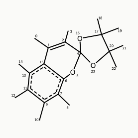 CC1=C(C)C2(Oc3c(C)c(C)c(C)c(C)c31)OC(C)(C)C(C)(C)O2